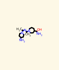 C=C(/N=C(\C)N1CCCC(C(N)O)CC1)N1CCC(N)CC1